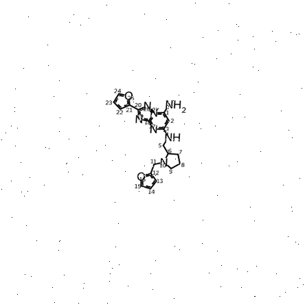 Nc1cc(NCC2CCCN2Cc2ccco2)nc2nc(-c3ccco3)nn12